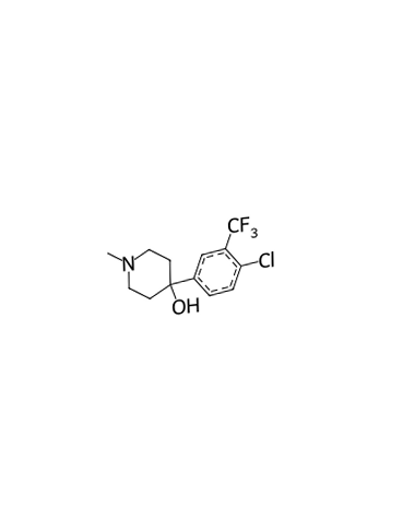 CN1CCC(O)(c2ccc(Cl)c(C(F)(F)F)c2)CC1